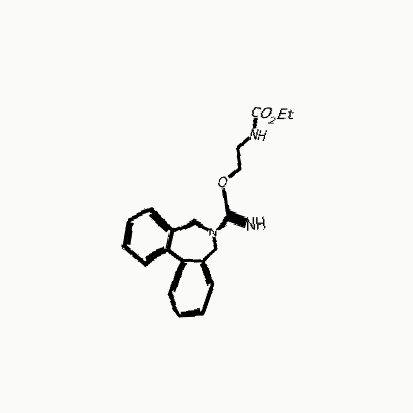 CCOC(=O)NCCOC(=N)N1Cc2ccccc2-c2ccccc2C1